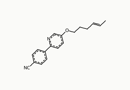 C/C=C/CCCOc1ccc(-c2ccc(C#N)cc2)nc1